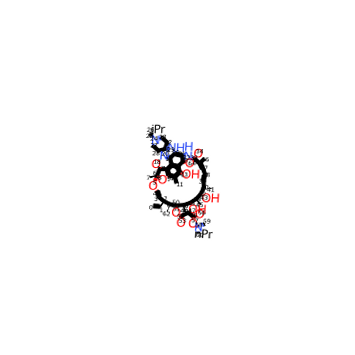 C=C[C@H]1/C=C/O[C@@]2(C)Oc3c(C)c(O)c4c(c3C2=O)C2=NC3(CCN(CC(C)C)CC3)NC2=C(NC(=O)/C(C)=C\C=C\[C@H](C)[C@H](O)[C@@H](C)[C@@H](O)[C@@H](C)[C@H](OC(=O)CC(=O)ON(C)CCC)[C@@H]1C)C4=O